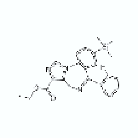 CCOC(=O)c1ncn2c1CN=C(c1ccccc1F)c1cc([Si](C)(C)C)ccc1-2